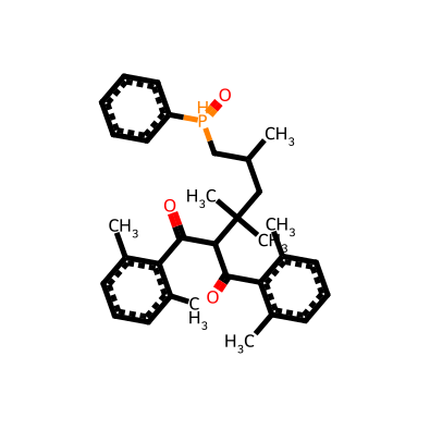 Cc1cccc(C)c1C(=O)C(C(=O)c1c(C)cccc1C)C(C)(C)CC(C)C[PH](=O)c1ccccc1